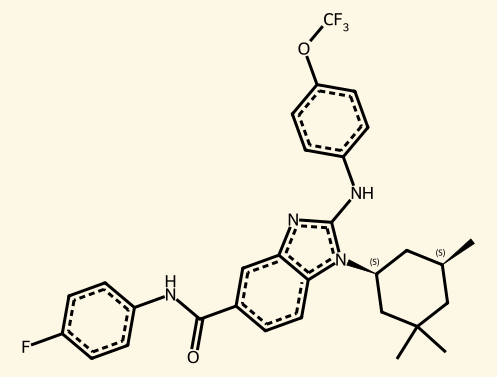 C[C@@H]1C[C@H](n2c(Nc3ccc(OC(F)(F)F)cc3)nc3cc(C(=O)Nc4ccc(F)cc4)ccc32)CC(C)(C)C1